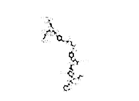 CC[C@H](C)[C@H](NC(=O)[C@H]1CCCCN1C)C(=O)N(COC(=O)CC(C)C)[C@H](C[C@@H](OC(C)=O)c1nc(C(=O)N[C@@H](Cc2ccc(OC(=O)N(C)CCN(C)C(=O)OCc3ccc(NC(=O)[C@@H](CCCNC(N)=O)NC(=O)[C@H](NC(=O)CCNC)C(C)C)cc3)cc2)C[C@H](C)C(=O)O)cs1)C(C)C